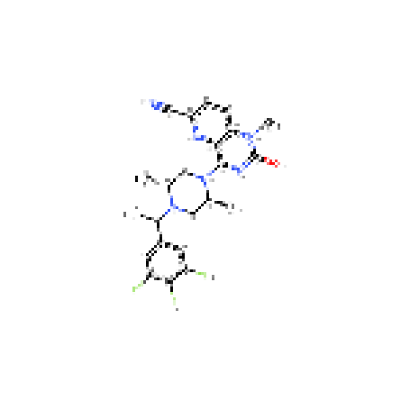 CC(c1cc(F)c(F)c(F)c1)N1C[C@H](C)N(c2nc(=O)n(C)c3ccc(C#N)nc23)C[C@H]1C